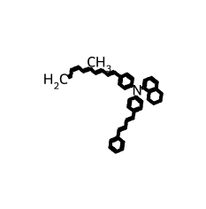 C=C\C=C/C=C(C)/C=C/C=C/c1ccc(N(c2ccc(/C=C/C=C/c3ccccc3)cc2)c2cccc3c2CCCC3)cc1